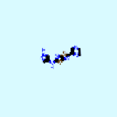 c1cnc(-c2nc3sc(Nc4cn[nH]c4)nc3s2)cn1